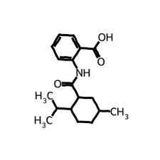 CC1CCC(C(C)C)C(C(=O)Nc2ccccc2C(=O)O)C1